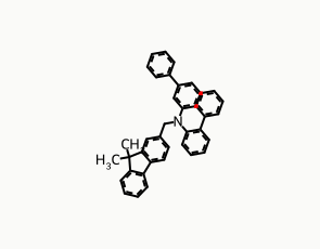 CC1(C)c2ccccc2-c2ccc(CN(c3cccc(-c4ccccc4)c3)c3ccccc3-c3ccccc3)cc21